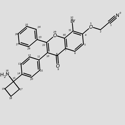 N#CCOc1ccc2c(=O)c(-c3ccc(C4(N)CCC4)cc3)c(-c3ccccc3)oc2c1Br